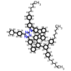 CCCCCCc1ccc(-c2cc(-c3ccc(CCCCCC)cc3)cc(-c3cccc(-c4cccc(C5(c6ccccc6)c6ccccc6-c6cc7c8cc(-c9ccc(CCCCCC)cc9)ccc8n(-c8nc(-c9ccc(C%10=CC=CCC%10)cc9)nc(-c9ccc(-c%10ccccc%10)cc9)n8)c7cc65)c4)c3)c2)cc1